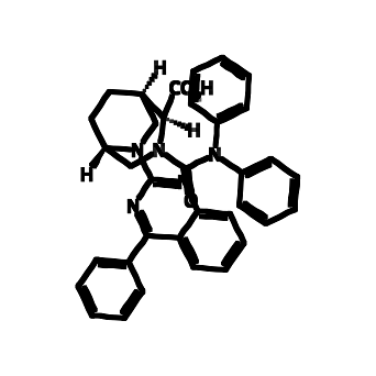 O=C(O)[C@@H]1[C@@H]2CC[C@@H](CN1C(=O)N(c1ccccc1)c1ccccc1)N(c1nc(-c3ccccc3)c3ccccc3n1)C2